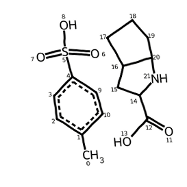 Cc1ccc(S(=O)(=O)O)cc1.O=C(O)C1CC2CCCC2N1